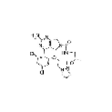 C[C@H](O)CNC(=O)N1Cc2nc(N)nc(-c3c(Cl)cc(Cl)cc3OCCn3cccn3)c2C1